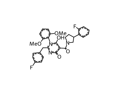 COc1cccc(OC)c1-n1c(Cc2ccc(F)cc2)nc(=O)c(C(=O)N2CCC(c3ccccc3F)C2)c1O